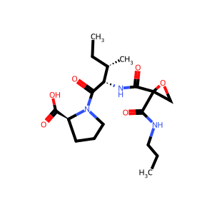 CCCNC(=O)C1(C(=O)N[C@H](C(=O)N2CCC[C@H]2C(=O)O)[C@@H](C)CC)CO1